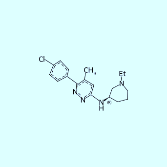 CCN1CCC[C@@H](Nc2cc(C)c(-c3ccc(Cl)cc3)nn2)C1